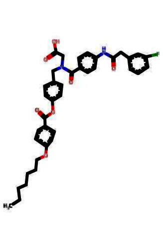 CCCCCCCOc1ccc(C(=O)Oc2ccc(CN(CC(=O)O)C(=O)c3ccc(NC(=O)Cc4cccc(F)c4)cc3)cc2)cc1